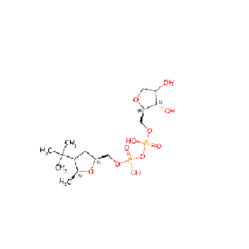 C[C@@H]1O[C@H](COP(=O)(O)OP(=O)(O)OC[C@H]2OCC(O)[C@@H]2O)CC1C(C)(C)C